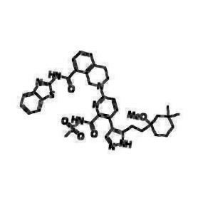 COC1(CCc2[nH]ncc2-c2ccc(N3CCc4cccc(C(=O)Nc5nc6ccccc6s5)c4C3)nc2C(=O)NS(C)(=O)=O)CCCC(C)(C)C1